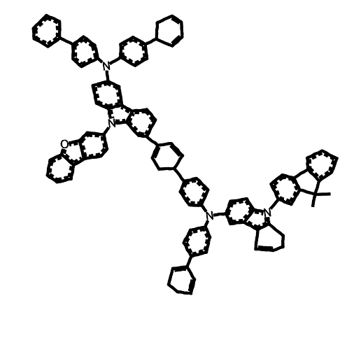 CC1(C)c2ccccc2-c2ccc(-n3c4c(c5cc(N(c6ccc(C7=CCCC=C7)cc6)c6ccc(C7C=CC(c8ccc9c%10cc(N(c%11ccc(-c%12ccccc%12)cc%11)c%11ccc(C%12C=CC=CC%12)cc%11)ccc%10n(-c%10ccc%11c(c%10)oc%10ccccc%10%11)c9c8)=CC7)cc6)ccc53)C=CCC4)cc21